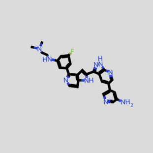 CN(C)CCNc1cc(F)cc(-c2nccc3[nH]c(-c4n[nH]c5ncc(-c6cncc(N)c6)cc45)cc23)c1